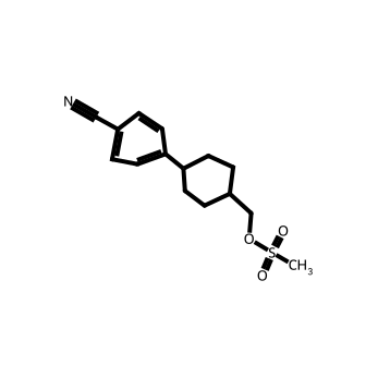 CS(=O)(=O)OCC1CCC(c2ccc(C#N)cc2)CC1